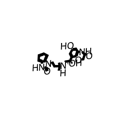 CC(C)(CCn1c(=O)[nH]c2ccccc21)NC[C@H](O)c1cc(O)cc2c1OCC(=O)N2